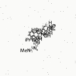 CNCCN(C)CCS(=O)(=O)NC1(CCC(C)C)C(=O)C(C2=NS(O)(O)c3cc(NS(C)(=O)=O)ccc3N2)=C(O)c2ccccc21